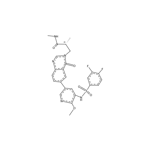 CNC(=O)[C@H](C)Cn1cnc2ccc(-c3cnc(OC)c(NS(=O)(=O)c4ccc(F)c(F)c4)c3)cc2c1=O